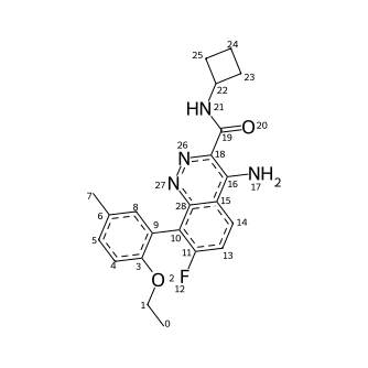 CCOc1ccc(C)cc1-c1c(F)ccc2c(N)c(C(=O)NC3CCC3)nnc12